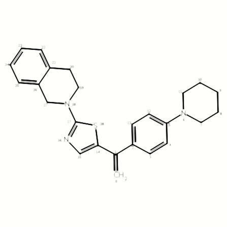 C=C(c1ccc(N2CCCCC2)cc1)c1cnc(N2CCc3ccccc3C2)s1